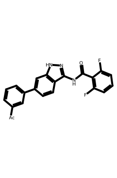 CC(=O)c1cccc(-c2ccc3c(NC(=O)c4c(F)cccc4F)n[nH]c3c2)c1